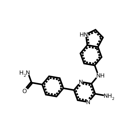 NC(=O)c1ccc(-c2cnc(N)c(Nc3ccc4[nH]ccc4c3)n2)cc1